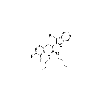 CCCCOP(OCCCC)C(Cc1ccc(F)c(F)c1)c1sc2ccccc2c1Br